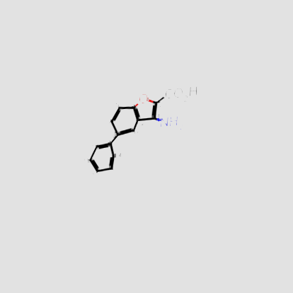 Nc1c(C(=O)O)oc2ccc(-c3ccccc3)cc12